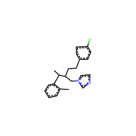 Cc1ccccc1C(C)C(CCc1ccc(Cl)cc1)Cn1ccnc1